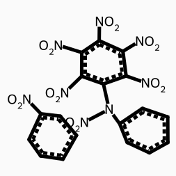 O=[N+]([O-])c1c(N(c2ccccc2)[N+](=O)[O-])c([N+](=O)[O-])c([N+](=O)[O-])c([N+](=O)[O-])c1[N+](=O)[O-].O=[N+]([O-])c1ccccc1